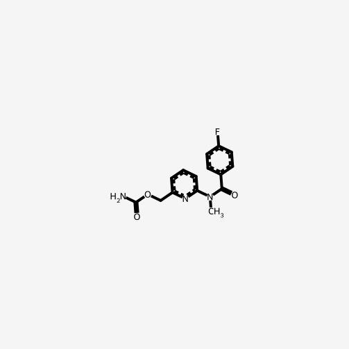 CN(C(=O)c1ccc(F)cc1)c1cccc(COC(N)=O)n1